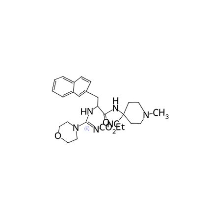 CCOC(=O)/N=C(\NC(Cc1ccc2ccccc2c1)C(=O)NC1(C#N)CCN(C)CC1)N1CCOCC1